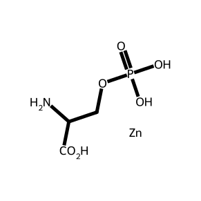 NC(COP(=O)(O)O)C(=O)O.[Zn]